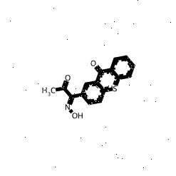 CC(=O)/C(=N/O)c1ccc2sc3ccccc3c(=O)c2c1